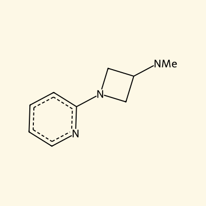 CNC1CN(c2ccccn2)C1